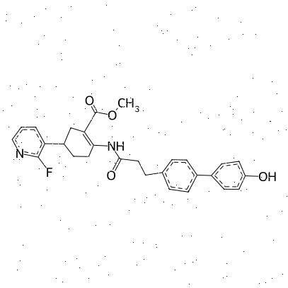 COC(=O)C1=C(NC(=O)CCc2ccc(-c3ccc(O)cc3)cc2)CCC(c2cccnc2F)C1